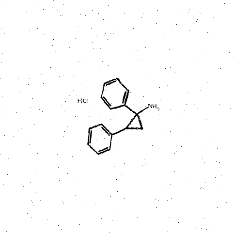 Cl.NC1(c2ccccc2)CC1c1ccccc1